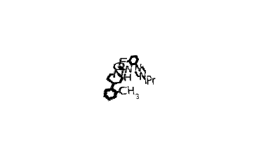 Cc1ccccc1C1CCN(C(=O)Nc2c(F)cccc2N2CCN(C(C)C)CC2)CC1